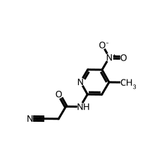 Cc1cc(NC(=O)CC#N)ncc1[N+](=O)[O-]